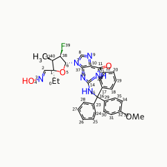 CC[C@@]1(/C=N/O)O[C@@H](n2cnc3c(=O)[nH]c(NC(c4ccccc4)(c4ccccc4)c4ccc(OC)cc4)nc32)[C@H](F)[C@@H]1C